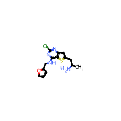 CC(N)Cc1cc2nc(Cl)nc(NCc3ccco3)c2s1